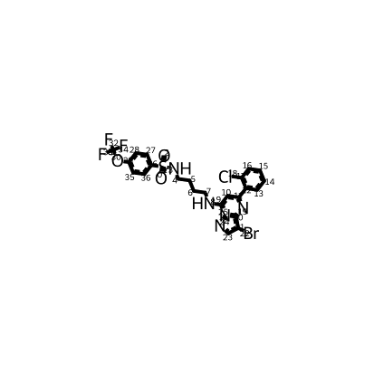 O=S(=O)(NCCCCNc1cc(-c2ccccc2Cl)nc2c(Br)cnn12)c1ccc(OC(F)(F)F)cc1